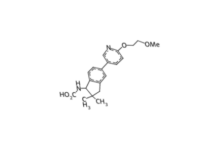 COCCOc1ccc(-c2ccc3c(c2)CC(C)(C)C3NC(=O)O)cn1